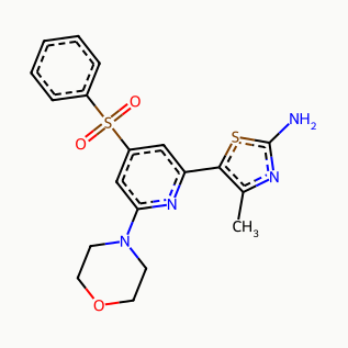 Cc1nc(N)sc1-c1cc(S(=O)(=O)c2ccccc2)cc(N2CCOCC2)n1